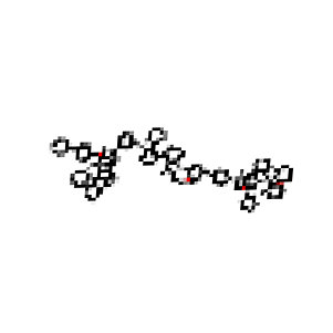 C=C/C=C\c1c(C)c2c(-c3cccc4c3c3ccccc3n4-c3cccc(-c4nc(-c5ccc(-c6ccccc6)cc5)nc(-c5cccc6c5C5(c7ccccc7Oc7ccccc75)c5ccccc5-6)n4)c3)cccc2n1-c1ccc(-c2ccc(-c3cc(-c4ccccc4)nc(-c4cccc5c4C4(c6ccccc6Oc6ccccc64)c4ccccc4-5)n3)cc2)cc1